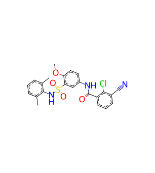 COc1ccc(NC(=O)c2cccc(C#N)c2Cl)cc1S(=O)(=O)Nc1c(C)cccc1C